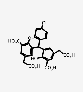 O=C(O)Cc1cc(C(=O)O)c(O)c(C(c2ccc(Cl)cc2)c2cc(CC(=O)O)cc(C(=O)O)c2O)c1